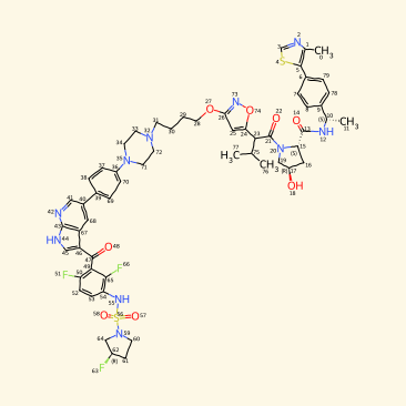 Cc1ncsc1-c1ccc([C@H](C)NC(=O)[C@@H]2C[C@@H](O)CN2C(=O)C(c2cc(OCCCCN3CCN(c4ccc(-c5cnc6[nH]cc(C(=O)c7c(F)ccc(NS(=O)(=O)N8CC[C@@H](F)C8)c7F)c6c5)cc4)CC3)no2)C(C)C)cc1